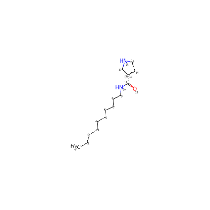 CCCCCCCCCCNC(=O)[C@H]1CCNC1